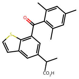 Cc1cc(C)c(C(=O)c2cc(C(C)C(=O)O)cc3ccsc23)c(C)c1